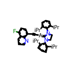 CC(C)c1cccc(C(C)C)c1N1CCN(c2c(C(C)C)cccc2C(C)C)[C]1=[Au][C]#Cc1ccc(F)c2cccnc12